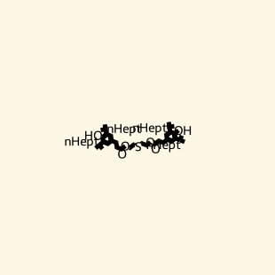 CCCCCCCC(C)(C)c1cc(CCC(=O)OCCSCCOC(=O)CCc2cc(C(C)(C)CCCCCCC)c(O)c(C(C)(C)CCCCCCC)c2)cc(C(C)(C)CCCCCCC)c1O